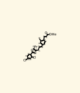 COC(=O)/C=C/c1ccc(/C=C/Cc2nc(-c3ccc(Cl)cc3Cl)oc2C(C)C)cc1C